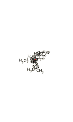 CCC[C@@H]1O[C@@H]2CC3C4CCC5=CC(=O)C=CC5(C)C4[C@@H](O)CC3(C)[C@]2(C(=O)CSc2nc(C)c(C)s2)O1